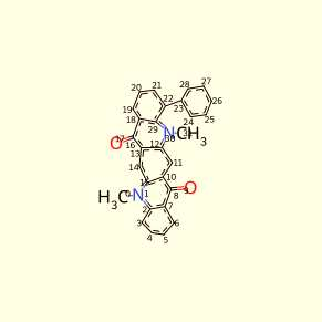 Cn1c2ccccc2c(=O)c2cc3c(cc21)c(=O)c1cccc(-c2ccccc2)c1n3C